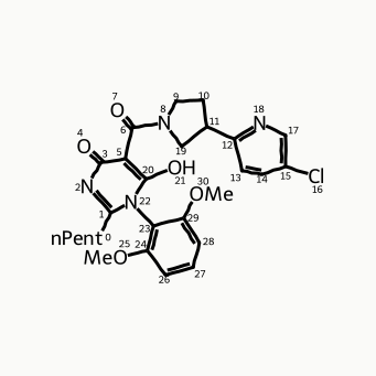 CCCCCc1nc(=O)c(C(=O)N2CCC(c3ccc(Cl)cn3)C2)c(O)n1-c1c(OC)cccc1OC